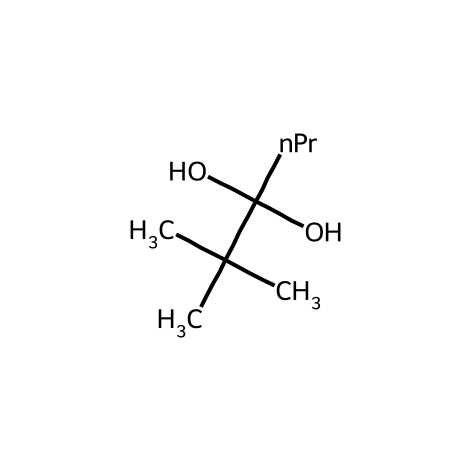 CCCC(O)(O)C(C)(C)C